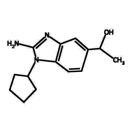 CC(O)c1ccc2c(c1)nc(N)n2C1CCCC1